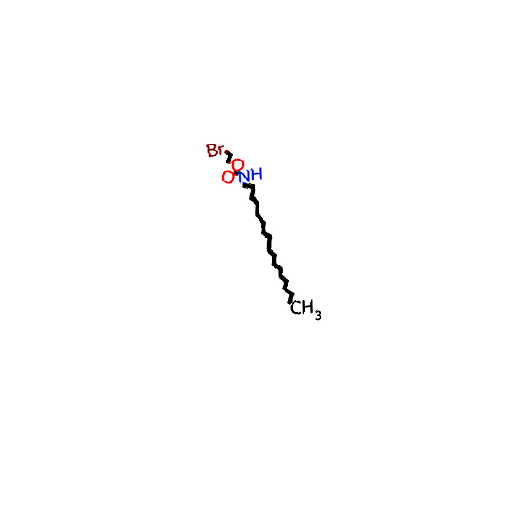 CCCCCCCCCCCCCCCCCCNC(=O)OCCBr